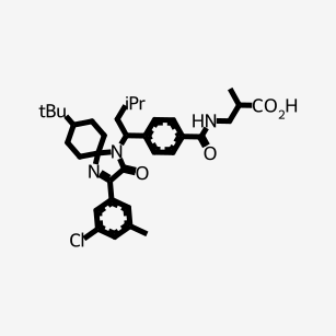 Cc1cc(Cl)cc(C2=NC3(CCC(C(C)(C)C)CC3)N(C(CC(C)C)c3ccc(C(=O)NCC(C)C(=O)O)cc3)C2=O)c1